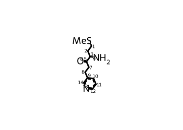 CSCCC(N)C(=O)CCc1cccnc1